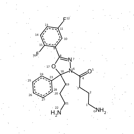 NCCCC(=O)N1N=C(c2cc(F)ccc2F)OC1(CCCN)c1ccccc1